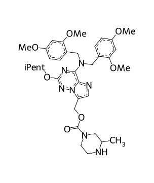 CCCC(C)Oc1nc(N(Cc2ccc(OC)cc2OC)Cc2ccc(OC)cc2OC)c2ncc(COC(=O)N3CCNC(C)C3)n2n1